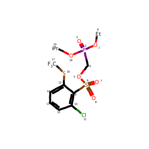 CCOP(=O)(COS(=O)(=O)c1c(Cl)cccc1SC(F)(F)F)OC(C)C